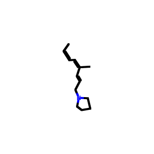 C\C=C/C=C(C)\C=C\CN1CCCC1